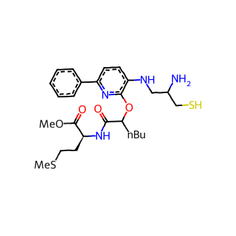 CCCCC(Oc1nc(-c2ccccc2)ccc1NCC(N)CS)C(=O)N[C@@H](CCSC)C(=O)OC